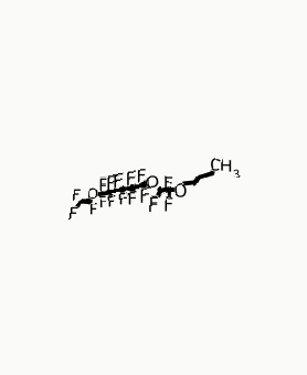 CCCCCOC(F)(F)C(F)OC(F)(F)C(F)(F)C(F)(F)C(F)(F)C(F)(F)OC(F)=C(F)F